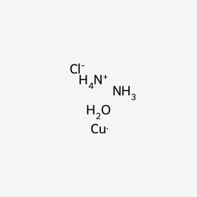 N.O.[Cl-].[Cu].[NH4+]